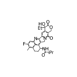 CC[C@@]1(O)C(=O)OCc2c1cc1n(c2=O)Cc2c-1nc1cc(F)c(C)c3c1c2[C@@H](NC(=O)C(C)C)CC3